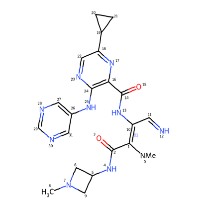 CN/C(C(=O)NC1CN(C)C1)=C(\C=N)NC(=O)c1nc(C2CC2)cnc1Nc1cncnc1